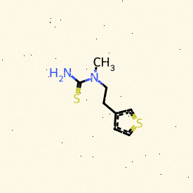 CN(CCc1ccsc1)C(N)=S